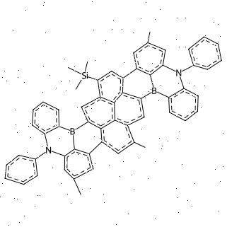 Cc1cc2c3c(c1)N(c1ccccc1)c1ccccc1B3c1cc3c([Si](C)(C)C)cc4c5c(cc6c(C)cc-2c1c6c35)B1c2ccccc2N(c2ccccc2)c2cc(C)cc-4c21